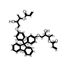 C=CC(=O)OC(C)C(O)COc1ccc(C2(c3ccc(OCC(O)C(C)OC(=O)C=C)cc3)c3ccccc3-c3ccccc32)cc1